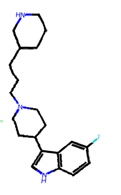 Cl.Fc1ccc2[nH]cc(C3CCN(CCCC4CCCNC4)CC3)c2c1